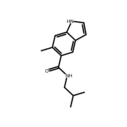 Cc1cc2[nH]ccc2cc1C(=O)NCC(C)C